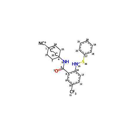 N#CC12CCC(NC(=O)c3cc(C(F)(F)F)ccc3NSc3ccccc3)(CC1)CC2